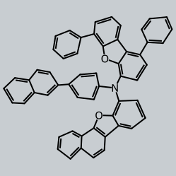 c1ccc(-c2cccc3c2oc2c(N(c4ccc(-c5ccc6ccccc6c5)cc4)c4cccc5c4oc4c6ccccc6ccc54)ccc(-c4ccccc4)c23)cc1